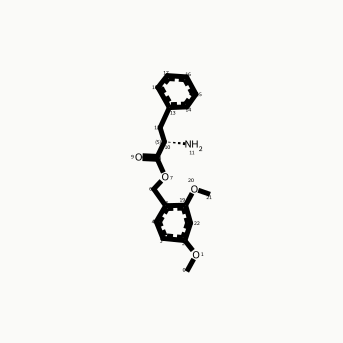 COc1ccc(COC(=O)[C@@H](N)Cc2ccccc2)c(OC)c1